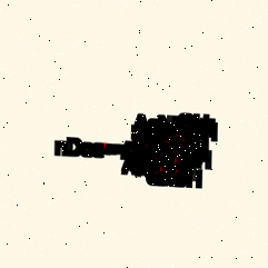 CCCCCCCCCCCCC/C=C/[C@@H](O)[C@H](CO[C@@H]1OC(CO)[C@@H](O[C@@H]2OC(CO)[C@H](O)[C@H](O[C@@H]3OC(CO)[C@@H](O[C@@H]4OC(CO)[C@H](O)[C@H](O[C@@H]5OC(CO)[C@@H](O[C@@H]6OC(CO)[C@H](O)[C@H](O[C@@H]7OC(CO)[C@@H](O)[C@H](O)C7NC(C)=O)C6O)[C@H](O[C@H]6OC(C)[C@@H](O)C(O)[C@@H]6O)C5NC(C)=O)C4O)[C@H](O)C3NC(C)=O)C2O)[C@H](O)C1O)NC(=O)CCCCCCCCCCCCCCCCCCCCCCC